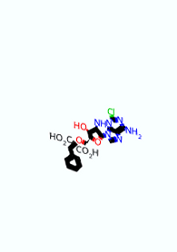 Nc1nc(Cl)nc2c1ncn2C1O[C@H](COC(Cc2ccccc2)(C(=O)O)C(=O)O)[C@@H](O)[C@H]1N